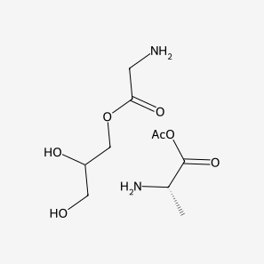 CC(=O)OC(=O)[C@H](C)N.NCC(=O)OCC(O)CO